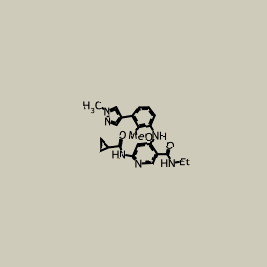 CCNC(=O)c1cnc(NC(=O)C2CC2)cc1Nc1cccc(-c2cnn(C)c2)c1OC